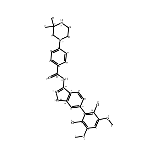 COc1cc(OC)c(Cl)c(-c2ccc3c(NC(=O)c4ccc(N5CCNC(C)(C)C5)cc4)n[nH]c3c2)c1Cl